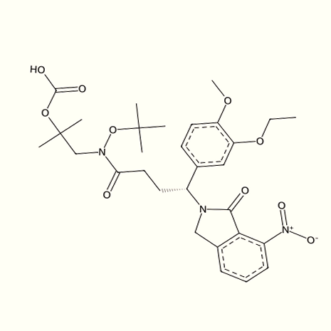 CCOc1cc([C@@H](CCC(=O)N(CC(C)(C)OC(=O)O)OC(C)(C)C)N2Cc3cccc([N+](=O)[O-])c3C2=O)ccc1OC